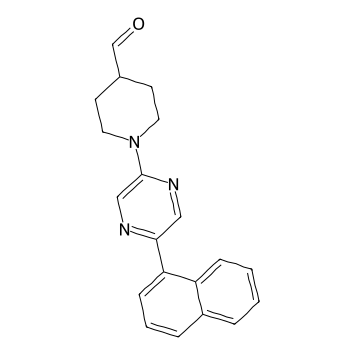 O=CC1CCN(c2cnc(-c3cccc4ccccc34)cn2)CC1